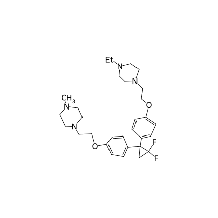 CCN1CCN(CCOc2ccc(C3(c4ccc(OCCN5CCN(C)CC5)cc4)CC3(F)F)cc2)CC1